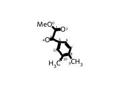 COC(=O)C(=O)c1ccc(C)c(C)c1